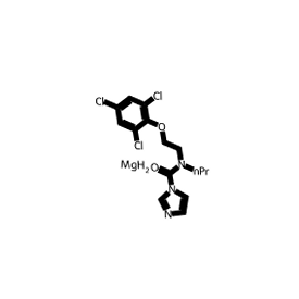 CCCN(CCOc1c(Cl)cc(Cl)cc1Cl)C(=O)n1ccnc1.[MgH2]